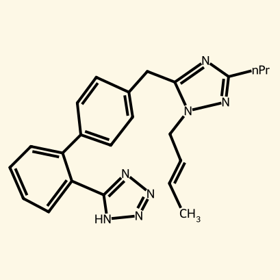 CC=CCn1nc(CCC)nc1Cc1ccc(-c2ccccc2-c2nnn[nH]2)cc1